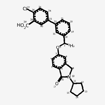 [2H]C(Oc1ccc2c(c1)CN(C1CCCC1)C2=O)c1cccc(-c2ccc(Cl)c(C(=O)O)c2)c1